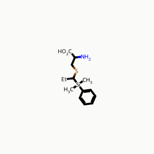 CCC(SCC(N)C(=O)O)[Si](C)(C)c1ccccc1